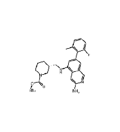 Cc1cccc(F)c1-c1cc(NC[C@H]2CCCN(C(=O)OC(C)(C)C)C2)c2cc(N)ncc2c1